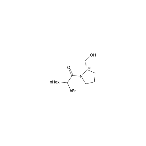 CCCCCCC(CCC)C(=O)N1CCC[C@H]1CO